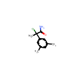 CC(Cl)(C(N)=O)c1cc(C(F)(F)F)cc(C(F)(F)F)c1